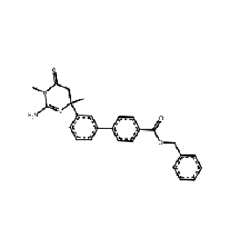 CN1C(=O)CC(C)(c2cccc(-c3ccc(C(=O)OCc4ccccc4)cc3)c2)N=C1N